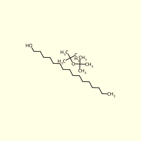 CC(C)(C)OC(C)(C)C.CCCCCCCCCCCCCCCCO